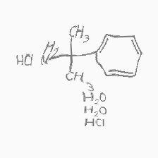 CC(C)(N)c1ccccc1.Cl.Cl.O.O